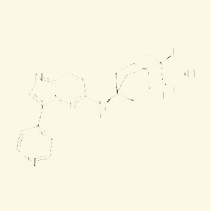 O[C@@H]1[C@@H]2CC3C[C@H]1C[C@@](Nc1ccc4ncc(-c5ccncc5)n4n1)(C3)C2